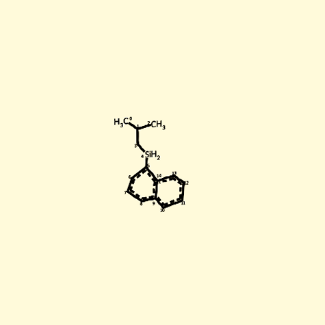 CC(C)C[SiH2]c1cccc2ccccc12